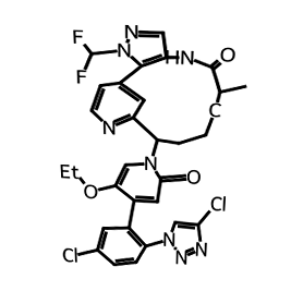 CCOc1cn(C2CCCC(C)C(=O)Nc3cnn(C(F)F)c3-c3ccnc2c3)c(=O)cc1-c1cc(Cl)ccc1-n1cc(Cl)nn1